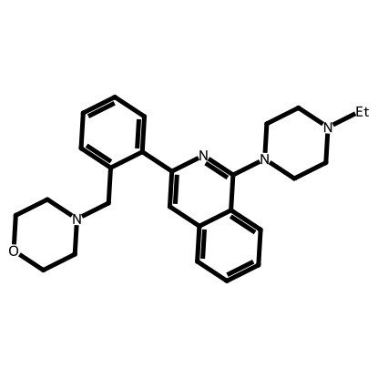 CCN1CCN(c2nc(-c3ccccc3CN3CCOCC3)cc3ccccc23)CC1